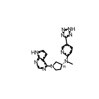 CN(c1ccc(-c2nn[nH]n2)cn1)[C@@H]1CCN(c2ncnc3[nH]ccc23)C1